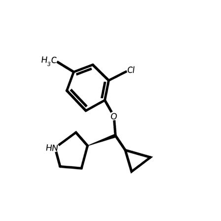 Cc1ccc(OC(C2CC2)[C@H]2CCNC2)c(Cl)c1